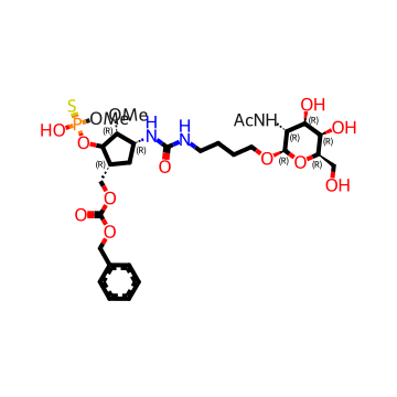 CO[C@H]1C(OP(O)(=S)OC)[C@@H](COC(=O)OCc2ccccc2)C[C@H]1NC(=O)NCCCCO[C@@H]1O[C@H](CO)[C@H](O)[C@H](O)[C@H]1NC(C)=O